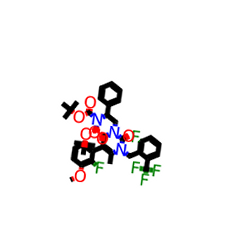 COc1cccc(-c2c(C)n(Cc3c(F)cccc3C(F)(F)F)c(=O)n(CC(c3ccccc3)N(C(=O)OC(C)(C)C)C(=O)OC(C)(C)C)c2=O)c1F